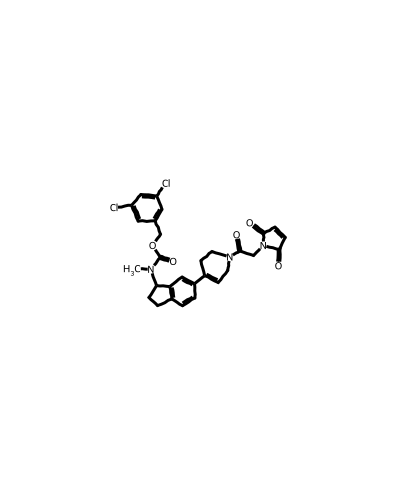 CN(C(=O)OCc1cc(Cl)cc(Cl)c1)C1CCc2ccc(C3=CCN(C(=O)CN4C(=O)C=CC4=O)CC3)cc21